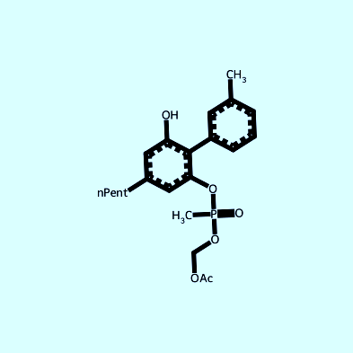 CCCCCc1cc(O)c(-c2cccc(C)c2)c(OP(C)(=O)OCOC(C)=O)c1